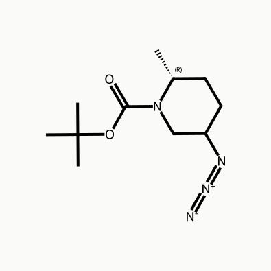 C[C@@H]1CCC(N=[N+]=[N-])CN1C(=O)OC(C)(C)C